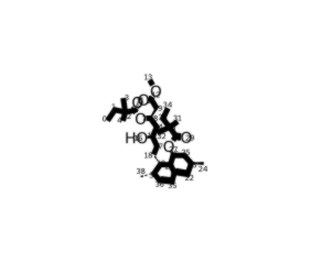 CCC(C)(C)C(=O)O[C@@H](CC(=O)OC)C[C@H](O)CC[C@@H]1C2C(=C[C@H](C)C[C@@H]2OC(=O)C(C)(C)CC)C=C[C@@H]1C